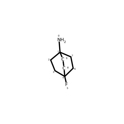 NC12CCC(F)(CC1)CC2